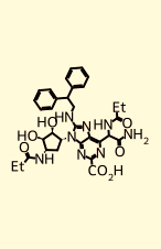 CCC(=O)NC(C(N)=O)c1nc(C(=O)O)nc2c1nc(NCC(c1ccccc1)c1ccccc1)n2[C@@H]1C[C@H](NC(=O)CC)[C@@H](O)[C@H]1O